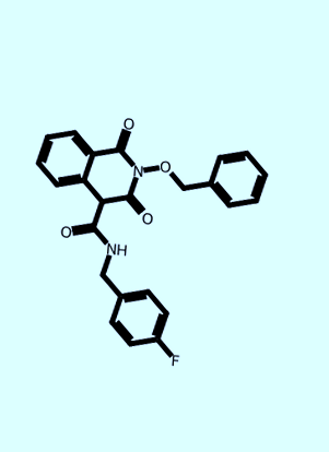 O=C(NCc1ccc(F)cc1)C1C(=O)N(OCc2ccccc2)C(=O)c2ccccc21